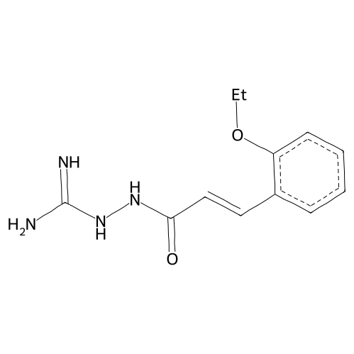 CCOc1ccccc1/C=C/C(=O)NNC(=N)N